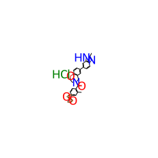 Cc1nc2ccc(-c3ccc4c(c3)CN(C(=O)c3ccc(S(C)(=O)=O)cc3C)CCO4)cc2[nH]1.Cl